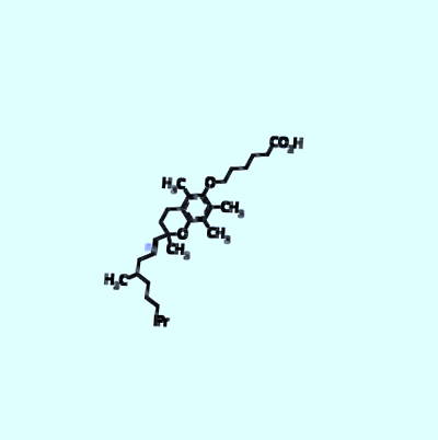 Cc1c(C)c2c(c(C)c1OCCCCCC(=O)O)CCC(C)(/C=C/CC(C)CCCC(C)C)O2